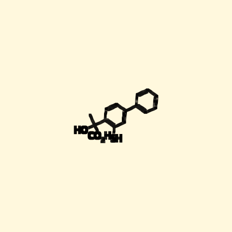 CC(O)(C(=O)O)c1ccc(-c2ccccc2)cc1S